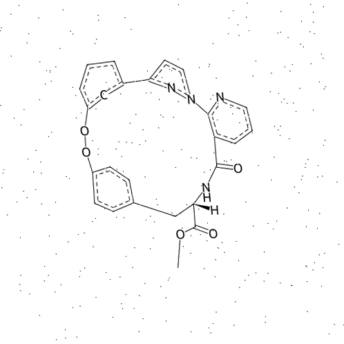 COC(=O)[C@@H]1Cc2ccc(cc2)OOc2cccc(c2)-c2ccn(n2)-c2ncccc2C(=O)N1